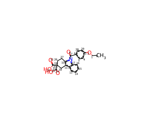 CCOc1ccc(C(=O)n2c3c(c4ccccc42)CC(C(=O)O)(C(=O)O)CC3)cc1